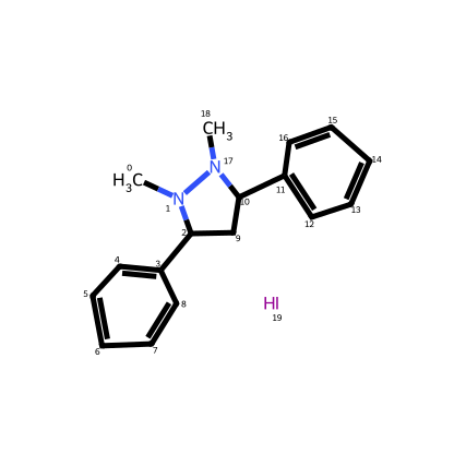 CN1C(c2ccccc2)CC(c2ccccc2)N1C.I